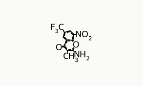 Cc1c(N)oc2c([N+](=O)[O-])cc(C(F)(F)F)cc2c1=O